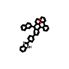 c1ccc(-c2ccccc2-c2c3ccccc3c(-c3ccc4ccccc4c3)c3cc(-c4ccc(-c5nc6ccccc6[nH]5)cc4)ccc23)cc1